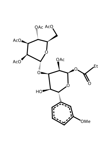 CCC(=O)O[C@H]1O[C@H](c2cccc(OC)c2)[C@@H](O)[C@@H](O[C@H]2O[C@H](COC(C)=O)[C@@H](OC(C)=O)[C@H](OC(C)=O)[C@@H]2OC(C)=O)[C@H]1OC(C)=O